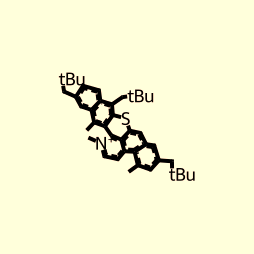 Cc1c2c(c(CC(C)(C)C)c3ccc(CC(C)(C)C)cc13)Sc1cc3cc(CC(C)(C)C)cc(C)c3c3cc[n+](C)c-2c13